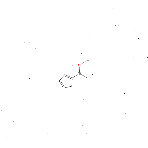 CC[O][Ti]([CH3])[C]1=CC=CC1